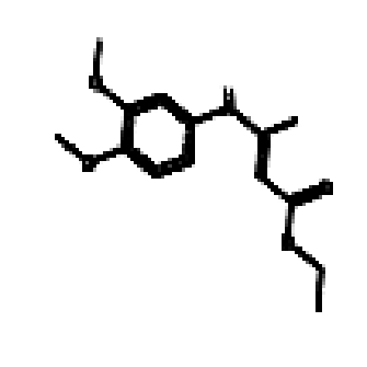 CCOC(=O)C=C(C)Nc1ccc(OC)c(OC)c1